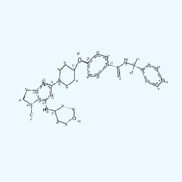 C=C(NC(C)(C)c1ccncc1)c1ccc(OC2CCN(c3nc4c(c(NC5CCOCC5)n3)[S+]([O-])CC4)CC2)cc1